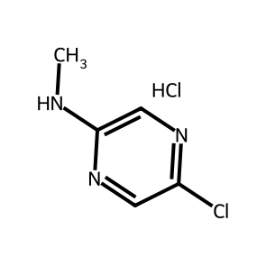 CNc1cnc(Cl)cn1.Cl